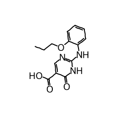 CCCOc1ccccc1Nc1ncc(C(=O)O)c(=O)[nH]1